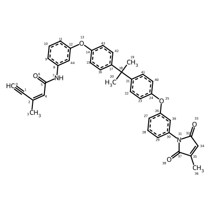 C#C/C(C)=C\C(=O)Nc1cccc(Oc2ccc(C(C)(C)c3ccc(Oc4cccc(N5C(=O)C=C(C)C5=O)c4)cc3)cc2)c1